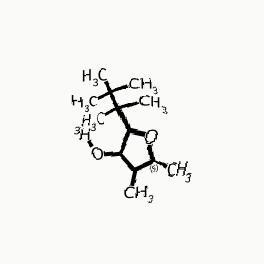 [3H]OC1C(C)[C@H](C)OC1C(C)(C)C(C)(C)C